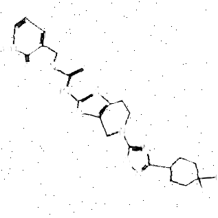 O=C(NCc1ccc[nH]c1=O)Nc1nc2c(s1)CN(c1nc(C3CCC(F)(F)CC3)no1)CC2